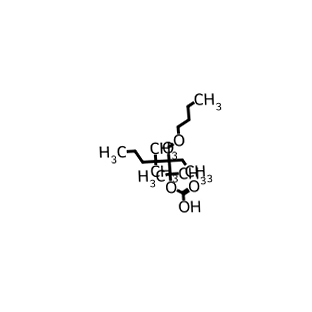 CCCCOOC(CC)(C(C)(C)CCC)C(C)(C)OC(=O)O